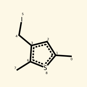 Cc1cc(CI)c(C)s1